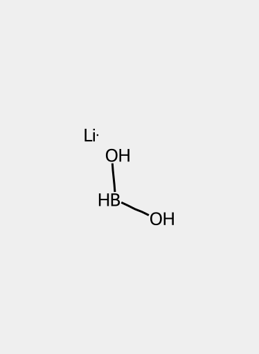 OBO.[Li]